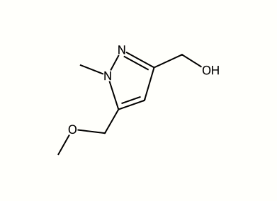 COCc1cc(CO)nn1C